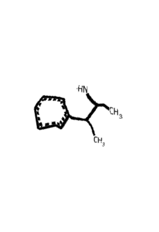 CC([NH])C(C)c1ccccc1